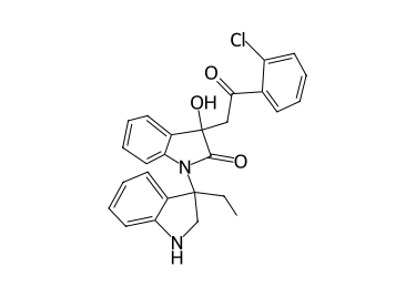 CCC1(N2C(=O)C(O)(CC(=O)c3ccccc3Cl)c3ccccc32)CNc2ccccc21